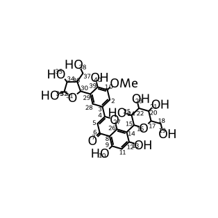 COc1cc(-c2cc(=O)c3c(O)cc(O)c(C4OC(CO)C(O)C(O)C4O)c3o2)cc(C2OC(O)C(O)C2CO)c1O